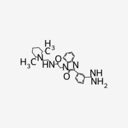 C[C@@H]1CCC[C@H](C)N1CCNC(=O)Cn1c(=O)c(-c2cccc(C(=N)N)c2)nc2ccccc21